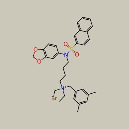 CC[N+](CBr)(CCCCN(c1ccc2c(c1)OCO2)S(=O)(=O)c1ccc2ccccc2c1)Cc1cc(C)cc(C)c1